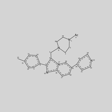 CC(=O)N1CCN(Cc2c(-c3ccc(C)cc3)nc3ccc(-c4ccncc4)cn23)CC1